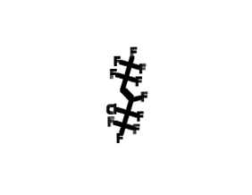 FC(=CC(F)(F)C(F)(F)F)C(F)(Cl)C(F)(F)F